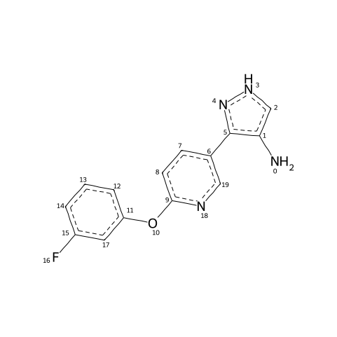 Nc1c[nH]nc1-c1ccc(Oc2cccc(F)c2)nc1